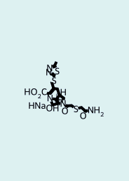 Cc1nnc(SCC2=C(C(=O)O)N3C(=O)[C@@H]4[C@H]3[C@H](C2)CN4C(=O)CSCC(N)=O)s1.[NaH]